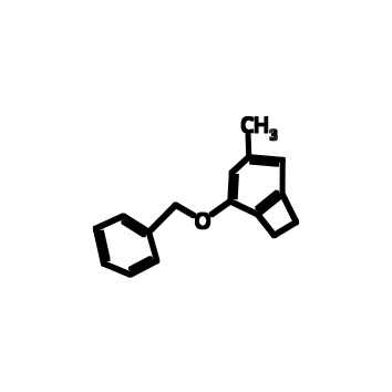 Cc1cc2c(c(OCc3ccccc3)c1)CC2